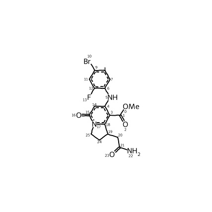 COC(=O)c1c(Nc2ccc(Br)cc2F)cc(=O)n2c1C(CC(N)=O)CC2